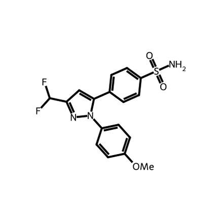 COc1ccc(-n2nc(C(F)F)cc2-c2ccc(S(N)(=O)=O)cc2)cc1